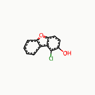 Oc1ccc2oc3ccccc3c2c1Cl